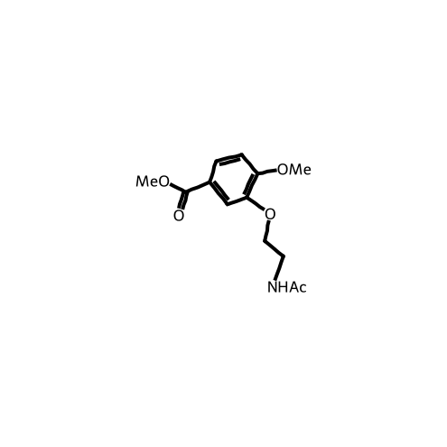 COC(=O)c1ccc(OC)c(OCCNC(C)=O)c1